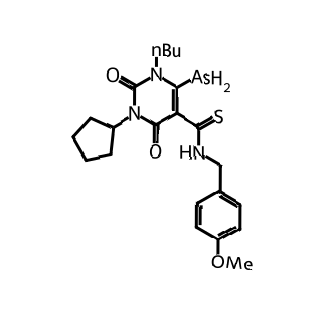 CCCCn1c([AsH2])c(C(=S)NCc2ccc(OC)cc2)c(=O)n(C2CCCC2)c1=O